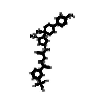 Cc1ccc(C2CCC(O)(N3C[C@H](NC(=O)CNC(=O)c4cccc(C(F)(F)F)c4)C[C@@H]3C)CC2)cn1